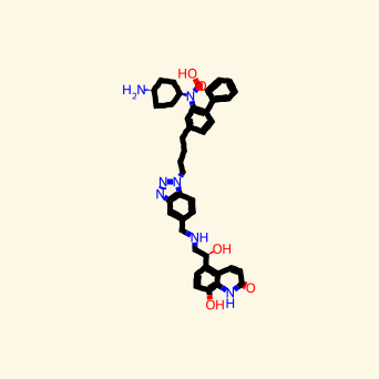 N[C@H]1CC[C@H](N(C(=O)O)c2cc(CCCCn3nnc4cc(CNC[C@H](O)c5ccc(O)c6[nH]c(=O)ccc56)ccc43)ccc2-c2ccccc2)CC1